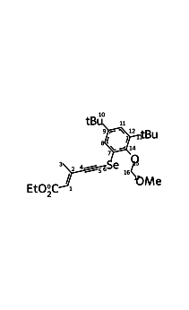 CCOC(=O)/C=C(\C)C#C[Se]c1cc(C(C)(C)C)cc(C(C)(C)C)c1OCOC